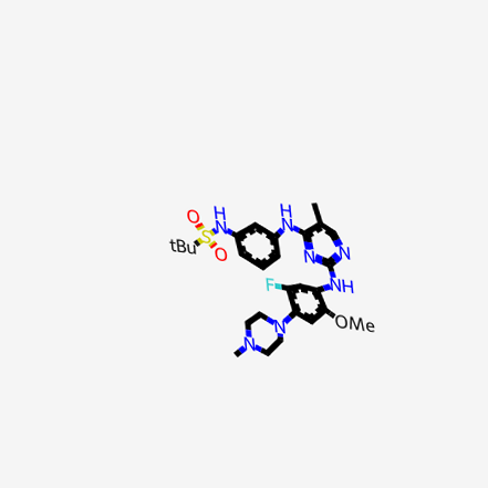 COc1cc(N2CCN(C)CC2)c(F)cc1Nc1ncc(C)c(Nc2cccc(NS(=O)(=O)C(C)(C)C)c2)n1